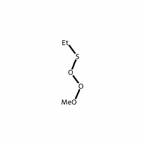 CCSOOOC